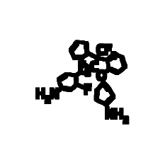 Nc1ccc(Oc2ccccc2C(c2ccccc2Oc2ccc(N)cc2F)(C(F)(F)F)C(F)(F)F)cc1